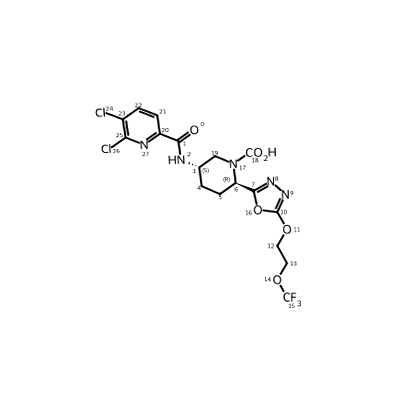 O=C(N[C@H]1CC[C@H](c2nnc(OCCOC(F)(F)F)o2)N(C(=O)O)C1)c1ccc(Cl)c(Cl)n1